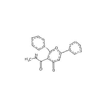 CNC(=O)c1c(-c2ccccc2)oc(-c2ccccc2)cc1=O